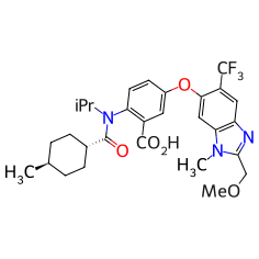 COCc1nc2cc(C(F)(F)F)c(Oc3ccc(N(C(=O)[C@H]4CC[C@H](C)CC4)C(C)C)c(C(=O)O)c3)cc2n1C